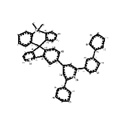 C[Si]1(C)c2ccccc2C2(c3ccccc3-c3cc(-c4cc(-c5ccccc5)nc(-c5cccc(-c6ccccc6)c5)c4)ccc32)c2ccccc21